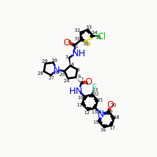 O=C(NC[C@H]1C[C@H](C(=O)Nc2ccc(-n3ccccc3=O)cc2F)CC1N1CCCC1)c1ccc(Cl)s1